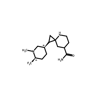 CN1C[C@@H](C2CC23CC(C(N)=O)CCN3)CC[C@H]1C(F)(F)F